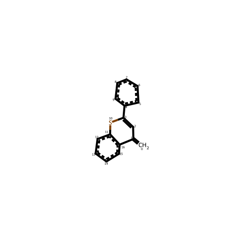 C=C1C=C(c2ccccc2)Sc2ccccc21